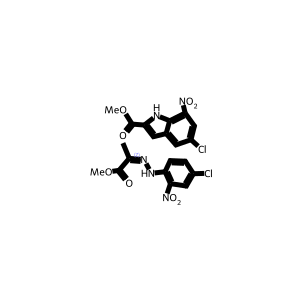 COC(=O)/C(C)=N\Nc1ccc(Cl)cc1[N+](=O)[O-].COC(=O)c1cc2cc(Cl)cc([N+](=O)[O-])c2[nH]1